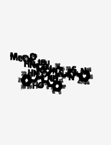 CCC(C)C(C(=O)NC(Cc1ccccc1)C(O)CC(Cc1ccccc1)NC(=O)C(NC(=O)OC)C(C)(C)C)N1CCN(Cc2csc(-c3ccccn3)n2)C1=O